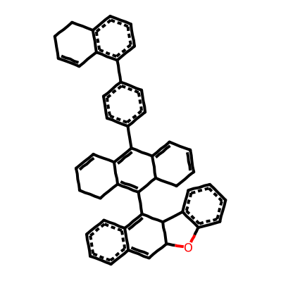 C1=CCC2C(=C1)C(c1ccc(-c3cccc4c3C=CCC4)cc1)=C1C=CCCC1=C2C1=c2ccccc2=CC2Oc3ccccc3C12